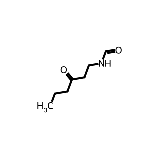 CCCC(=O)CCNC=O